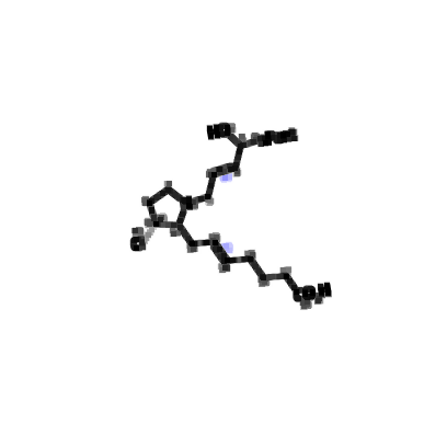 CCCCCC(O)/C=C/CN1CC[C@@H](Cl)C1C/C=C/CCCC(=O)O